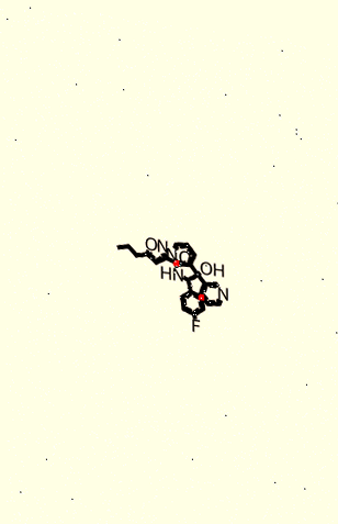 CCCc1cc(C(=O)NC(c2ccc(F)cc2)C(O)(c2cccnc2)c2cccnc2)no1